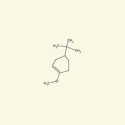 COC1=CCC(C(C)(C)C)CC1